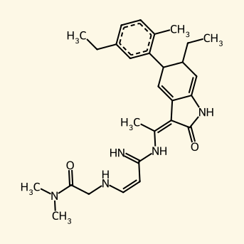 CCc1ccc(C)c(C2C=C3C(=CC2CC)NC(=O)/C3=C(/C)NC(=N)/C=C\NCC(=O)N(C)C)c1